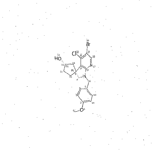 COc1ccc(CN2C[C@@]3(CC[C@H](O)C3)c3c2ncc(Br)c3Cl)cc1